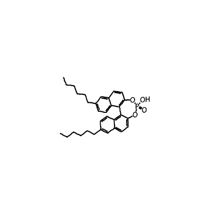 CCCCCCc1ccc2c3c(ccc2c1)OP(=O)(O)Oc1ccc2cc(CCCCCC)ccc2c1-3